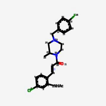 CC(=O)Nc1cc(Cl)ccc1/C=C/C(=O)N1CCN(Cc2ccc(F)cc2)CC1C